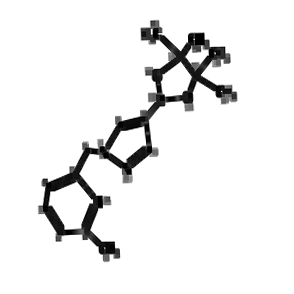 Cc1cccc(Cn2cc(B3OC(C)(C)C(C)(C)O3)cn2)n1